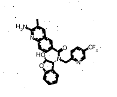 Cc1cc2cc(C(=O)N(Cc3ccc(C(F)(F)F)cn3)[C@@H]3c4ccccc4O[C@H]3O)ccc2nc1N